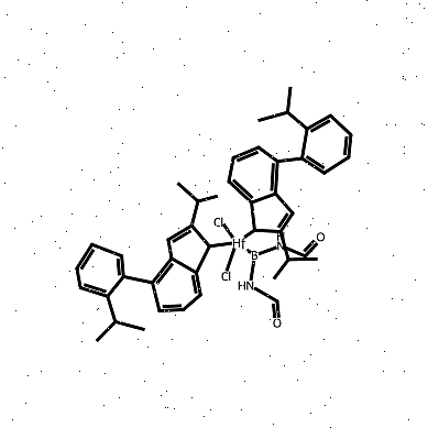 CC(C)C1=Cc2c(-c3ccccc3C(C)C)cccc2[CH]1[Hf]([Cl])([Cl])([B](NC=O)NC=O)[CH]1C(C(C)C)=Cc2c(-c3ccccc3C(C)C)cccc21